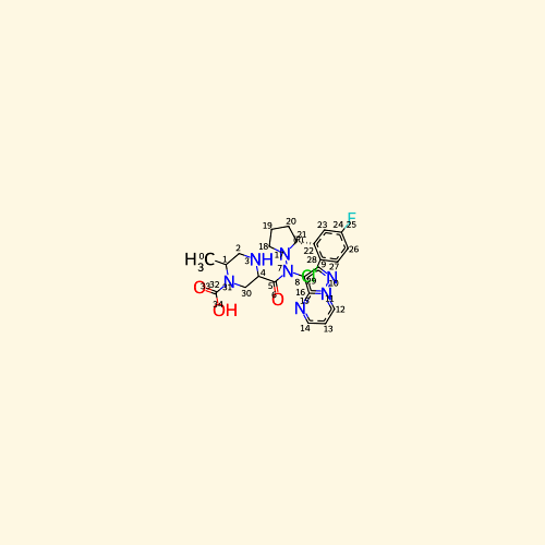 CC1CNC(C(=O)N(c2cnn3cccnc23)N2CCC[C@@H]2c2cc(F)ccc2Cl)CN1C(=O)O